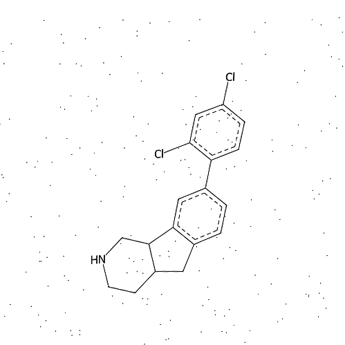 Clc1ccc(-c2ccc3c(c2)C2CNCCC2C3)c(Cl)c1